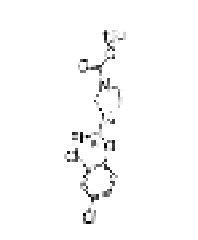 CC[C@H](Oc1ccc(Cl)cc1Cl)[C@H]1CCN(C(=O)OC(C)(C)C)C1